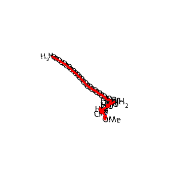 COc1ccc(/C=C/C(=O)N2CC(CCl)c3c2cc(NC(=O)OCc2ccc(NC(=O)C(CCCNC(N)=O)CC(=O)C(NC(=O)CCOCCOCCOCCOCCOCCOCCOCCOCCOCCOCCOCCOCCOCCOCCOCCOCCOCCOCCOCCOCCOCCOCCOCCOCCN)C(C)C)cc2)c2ccccc32)cc1